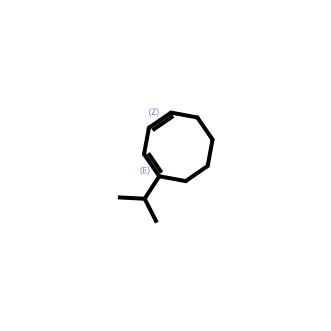 CC(C)/C1=C/C=C\CCCC1